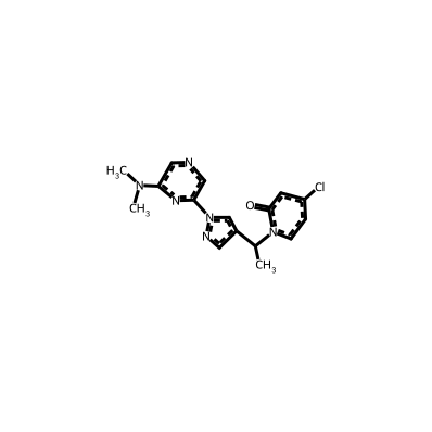 CC(c1cnn(-c2cncc(N(C)C)n2)c1)n1ccc(Cl)cc1=O